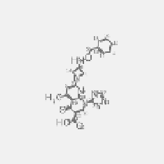 Cc1cc(N2CC(NOCc3ccccc3)C2)nc2c1c(=O)c(C(=O)O)cn2-c1ncns1